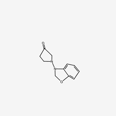 O=C1CCN(N2COc3ccccc32)C1